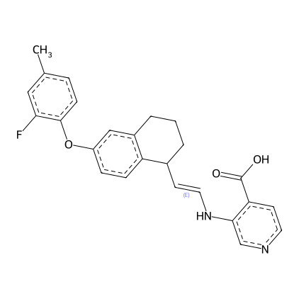 Cc1ccc(Oc2ccc3c(c2)CCCC3/C=C/Nc2cnccc2C(=O)O)c(F)c1